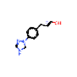 O/C=C/Cc1ccc(N2CNC=N2)cc1